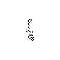 CC[C@]12OB(CNC(=O)CCCC[C@H]3CCSS3)OC1CC1CC2C1(C)C